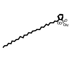 CCCCCCCCCCCCCCCCCCCCCCCCCCC(=O)c1ccccc1S(=O)(=O)O